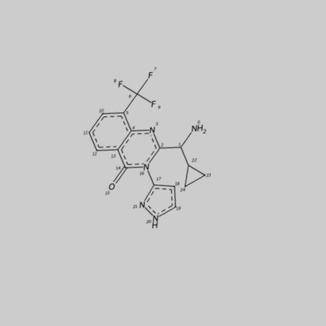 NC(c1nc2c(C(F)(F)F)cccc2c(=O)n1-c1cc[nH]n1)C1CC1